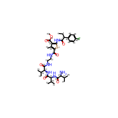 CCC(C(=O)Nc1sc(C(=O)NCCNC(=O)C(NC(=O)C(NC(=O)C(N)C(C)C)C(C)C)C(C)C)c(C)c1C(=O)OC)c1ccc(F)cc1